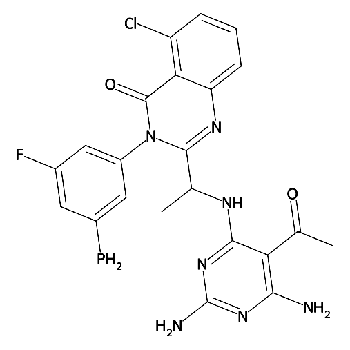 CC(=O)c1c(N)nc(N)nc1NC(C)c1nc2cccc(Cl)c2c(=O)n1-c1cc(F)cc(P)c1